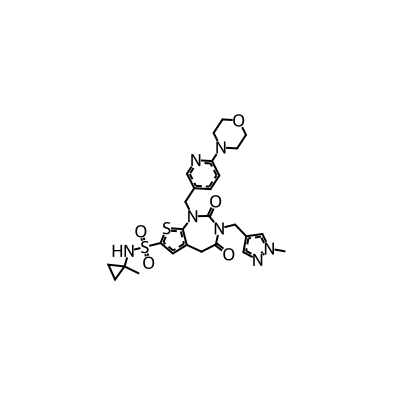 Cn1cc(CN2C(=O)Cc3cc(S(=O)(=O)NC4(C)CC4)sc3N(Cc3ccc(N4CCOCC4)nc3)C2=O)cn1